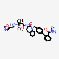 CCNC(=O)c1ccccc1-c1ccc(CN2C(=O)C(NC(=O)CC(C)(C)NCc3cnco3)CCc3ccccc32)cc1